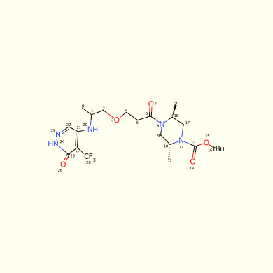 CC(COCCC(=O)N1C[C@@H](C)N(C(=O)OC(C)(C)C)C[C@@H]1C)Nc1cn[nH]c(=O)c1C(F)(F)F